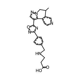 CC1Cn2ncc(-c3nc(-c4ccc(CNCCC(=O)O)cc4)no3)c2-c2ccncc21